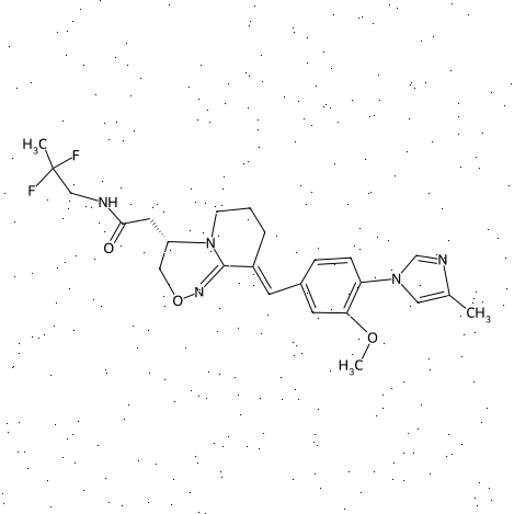 COc1cc(/C=C2\CCCN3C2=NOC[C@@H]3CC(=O)NCC(C)(F)F)ccc1-n1cnc(C)c1